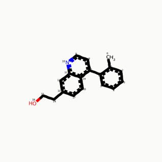 Cc1ccccc1-c1ccnc2cc(CCO)ccc12